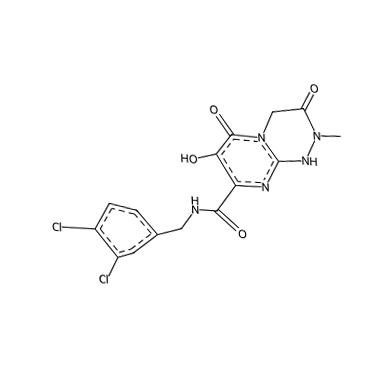 CN1Nc2nc(C(=O)NCc3ccc(Cl)c(Cl)c3)c(O)c(=O)n2CC1=O